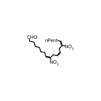 CCCCC/C=C(\C/C=C\C/C(=C\CCCCCC[C]=O)[N+](=O)[O-])[N+](=O)[O-]